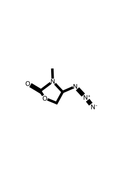 CN1C(=O)OCC1N=[N+]=[N-]